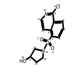 O=S(=O)(c1cccc2c(Cl)nccc12)N1CCC(O)C1